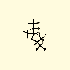 CC(C)(C)C(F)(F)C1(C(C)(C)C)CC(F)(C(F)(F)F)C(F)(F)O1